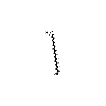 CCCCCCCCCCCCCCCCCCCC[Se]